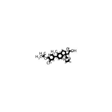 Cc1c(-c2cnc(OC(C)C)c(Cl)c2)ccc2c1CCC2(CC(=O)O)c1ncco1